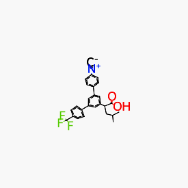 [C-]#[N+]c1ccc(-c2cc(-c3ccc(C(F)(F)F)cc3)cc(C(CC(C)C)C(=O)O)c2)cc1